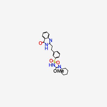 COC(=NC1CCCCC1)NS(=O)(=O)c1cccc(CCc2nc3ccccc3c(=O)[nH]2)c1